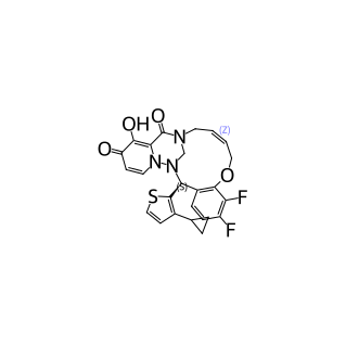 O=C1c2c(O)c(=O)ccn2N2CN1C/C=C\COc1c(ccc(F)c1F)[C@H]2c1sccc1C1CC1